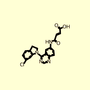 O=C(O)C=CC(=O)Nc1ccc2ncnc(N3CCc4ccc(Cl)cc43)c2c1